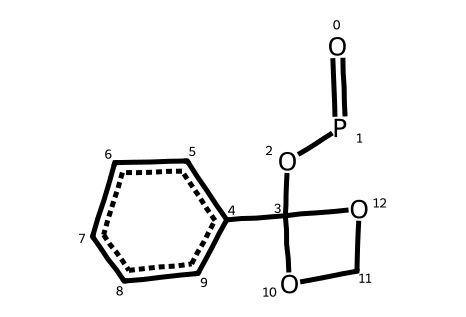 O=POC1(c2ccccc2)OCO1